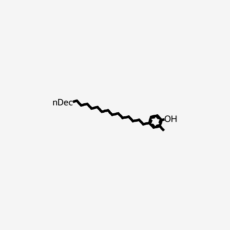 CCCCCCCCCCCCCCCCCCCCCCCCc1ccc(O)c(C)c1